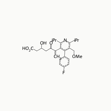 C=C(C(=O)CC(O)CC(=O)O)c1c(C(C)C)nc(C(C)C)c(COC)c1-c1ccc(F)cc1